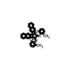 Cc1cccc(C)c1/N=C1/C(=N/c2c(C)cccc2C)C2c3cc4ccccc4cc3C23c2cc4ccccc4cc2C13